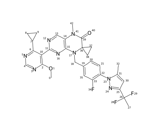 COc1ncnc(C2CC2)c1-c1ncc2c(n1)N(Cc1ccc(-n3nc(C(C)(F)F)cc3C)c(F)c1)C1(CC1)C(=O)N2C